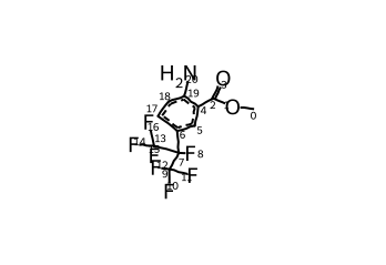 COC(=O)c1cc(C(F)(C(F)(F)F)C(F)(F)F)ccc1N